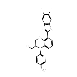 COc1ccc(N2c3cccc(-c4nc5cc(F)c(Cl)cc5[nH]4)c3OCC2CO)nc1